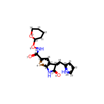 O=C1Nc2sc(C(=O)NOC3CCCCO3)cc2/C1=C/c1ccc[nH]1